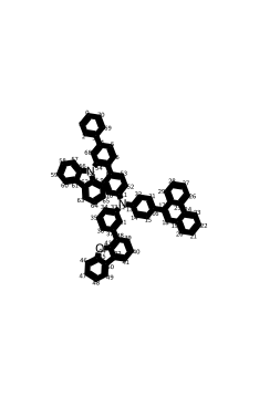 c1ccc(-c2ccc(-c3ccc(N(c4ccc(-c5cc6ccccc6c6ccccc56)cc4)c4cccc(-c5cccc6c5oc5ccccc56)c4)cc3)c(-n3c4ccccc4c4ccccc43)c2)cc1